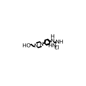 N=C(NCl)Nc1ccc(N2CCN(CCO)CC2)cc1